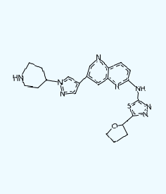 c1nc2ccc(Nc3nnc(C4CCCO4)s3)nc2cc1-c1cnn(C2CCNCC2)c1